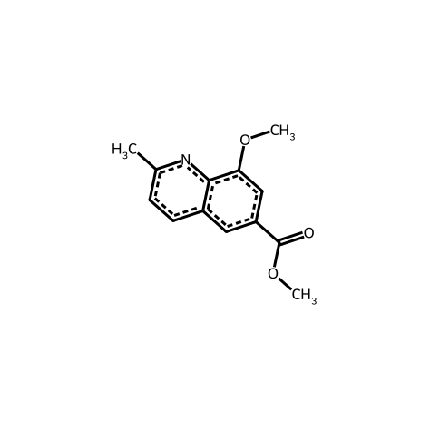 COC(=O)c1cc(OC)c2nc(C)ccc2c1